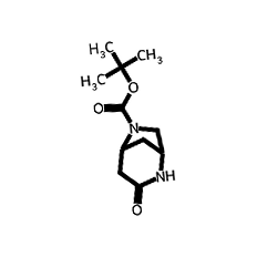 CC(C)(C)OC(=O)N1CC2CC1CC(=O)N2